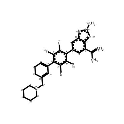 C=C(C)c1cc(-c2c(F)c(F)c(C3=CCCC(CN4CCCCC4)=C3)c(F)c2F)cc2nn(C)nc12